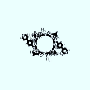 C[C@H]1OC(=O)C(CC2CC2)N(C)C(=O)[C@@H](Cc2ccc(C3CCOCC3)cc2)OC(=O)[C@H](CC(C)(C)F)N(C)C(=O)[C@@H](C)OC(=O)[C@H](CC2CC2)N(C)C(=O)[C@@H](Cc2ccc(C3CCOCC3)cc2)OC(=O)[C@H](CC(C)(C)F)N(C)C1=O